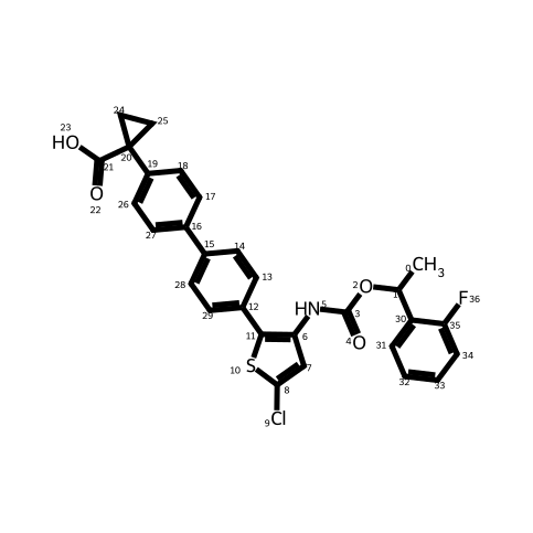 CC(OC(=O)Nc1cc(Cl)sc1-c1ccc(-c2ccc(C3(C(=O)O)CC3)cc2)cc1)c1ccccc1F